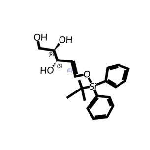 CC(C)(C)[Si](O/C=C/[C@H](O)[C@H](O)CO)(c1ccccc1)c1ccccc1